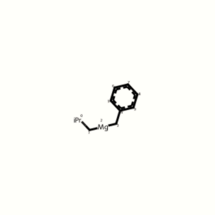 CC(C)[CH2][Mg][CH2]c1ccccc1